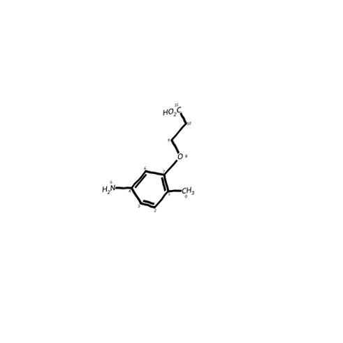 Cc1ccc(N)cc1OCCC(=O)O